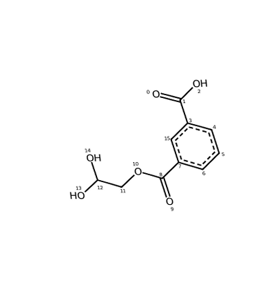 O=C(O)c1cccc(C(=O)OCC(O)O)c1